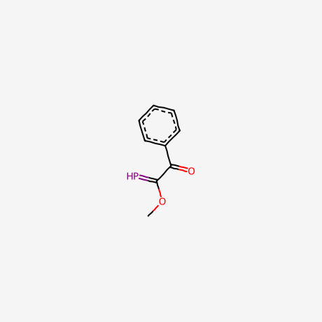 COC(=P)C(=O)c1ccccc1